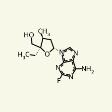 CC[C@@]1(CO)O[C@@H](n2cnc3c(N)nc(F)nc32)C[C@@H]1C